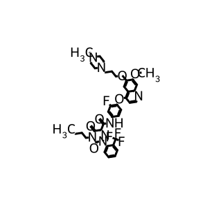 CCCCn1c(=O)c(C(=O)Nc2ccc(Oc3ccnc4cc(OC)c(OCCCN5CCN(C)CC5)cc34)c(F)c2)nn(-c2ccccc2C(F)(F)F)c1=O